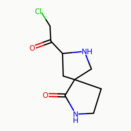 O=C(CCl)C1CC2(CCNC2=O)CN1